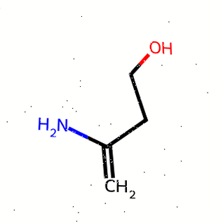 C=C(N)CCO